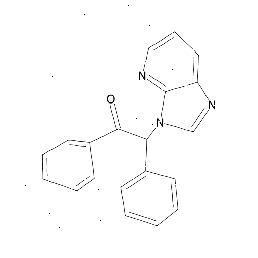 O=C(c1ccccc1)C(c1ccccc1)n1cnc2cccnc21